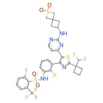 O=S1(=O)CC2(CC(Nc3nccc(-c4sc(C5(C(F)F)CCC5)nc4-c4cccc(NS(=O)(=O)c5c(F)cccc5C(F)(F)F)c4F)n3)C2)C1